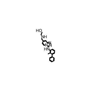 Cc1c(Nc2nnc3cc(CNCCO)ccn23)cccc1-c1ccccc1